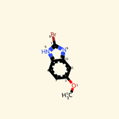 COc1ccc2[nH]c(Br)nc2c1